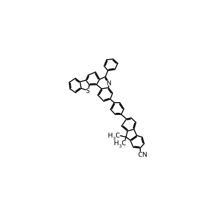 CC1(C)c2cc(C#N)ccc2-c2ccc(-c3ccc(-c4ccc5c(c4)nc(-c4ccccc4)c4ccc6c7ccccc7sc6c45)cc3)cc21